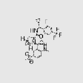 CNc1ccc(S(C)(=O)=O)cc1C(=O)N1[C@@H](C(=O)NC(c2ccc(C(F)(F)F)cc2F)C2CC2)C[C@H]2C[C@H]21